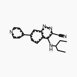 CCC(CC)Nc1c(C#N)nnc2cc(-c3ccncc3)ccc12